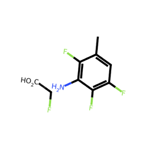 Cc1cc(F)c(F)c(N)c1F.O=C(O)CF